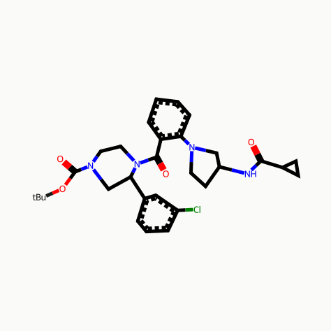 CC(C)(C)OC(=O)N1CCN(C(=O)c2ccccc2N2CCC(NC(=O)C3CC3)C2)C(c2cccc(Cl)c2)C1